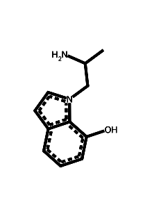 CC(N)Cn1ccc2cccc(O)c21